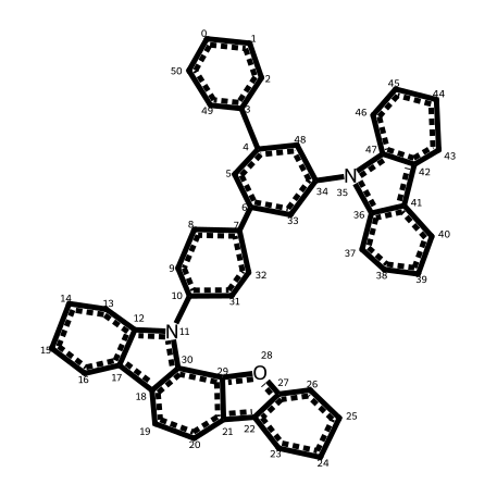 c1ccc(-c2cc(-c3ccc(-n4c5ccccc5c5ccc6c7ccccc7oc6c54)cc3)cc(-n3c4ccccc4c4ccccc43)c2)cc1